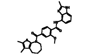 COc1cc(C(=O)N2CCCCc3c2sc(C)c3C)ccc1C(=O)Nc1cccc2[nH]c(C)nc12